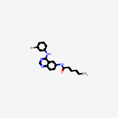 CC=CC=CC(=O)Nc1ccc2ncnc(Nc3cccc(Br)c3)c2c1